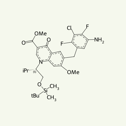 COC(=O)c1cn([C@H](CO[Si](C)(C)C(C)(C)C)C(C)C)c2cc(OC)c(Cc3cc(N)c(F)c(Cl)c3F)cc2c1=O